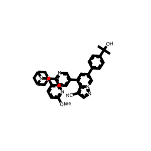 COc1ccc(CN2C3CC2CN(c2ccc(-c4cc(-c5ccc(C(C)(C)O)cc5)cn5ncc(C#N)c45)cn2)C3)cn1